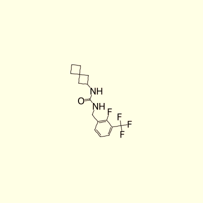 O=C(NCc1cccc(C(F)(F)F)c1F)NC1CC2(CCC2)C1